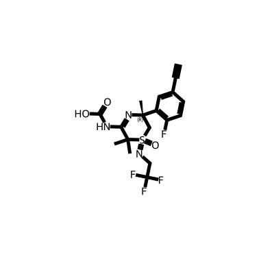 C#Cc1ccc(F)c([C@]2(C)CS(=O)(=NCC(F)(F)F)C(C)(C)C(NC(=O)O)=N2)c1